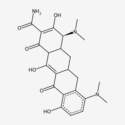 CN(C)c1ccc(O)c2c1CC1CC3C(C(=O)C(C(N)=O)=C(O)[C@H]3N(C)C)C(O)=C1C2=O